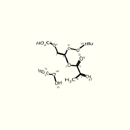 C=C(C)C(=O)OC(COC(=O)O)OOC(C)(C)C.O=C(O)OO